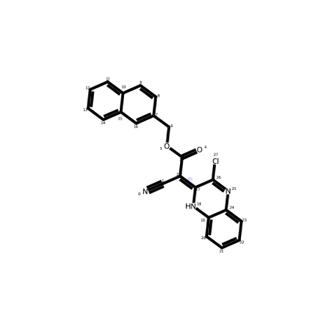 N#C/C(C(=O)OCc1ccc2ccccc2c1)=C1\Nc2ccccc2N=C1Cl